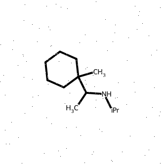 CC(C)NC(C)C1(C)CCCCC1